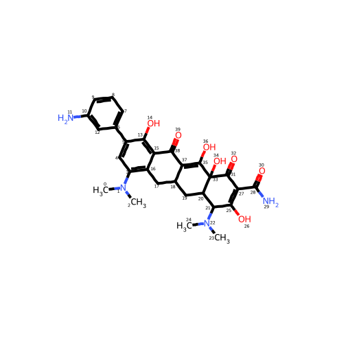 CN(C)c1cc(-c2cccc(N)c2)c(O)c2c1CC1CC3C(N(C)C)C(O)=C(C(N)=O)C(=O)C3(O)C(O)=C1C2=O